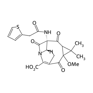 COC12C(=O)C3=C(C(=O)O)N4C(=O)[C@@](NC(=O)Cc5cccs5)(C(=O)C1C2(C)C)[C@@H]4CC3